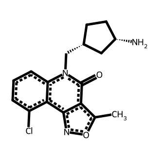 Cc1onc2c1c(=O)n(C[C@@H]1CC[C@H](N)C1)c1cccc(Cl)c21